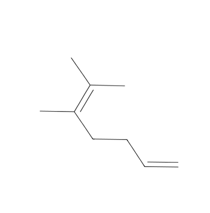 C=CCCC(C)=C(C)C